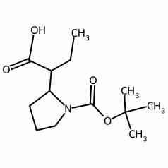 CCC(C(=O)O)C1CCCN1C(=O)OC(C)(C)C